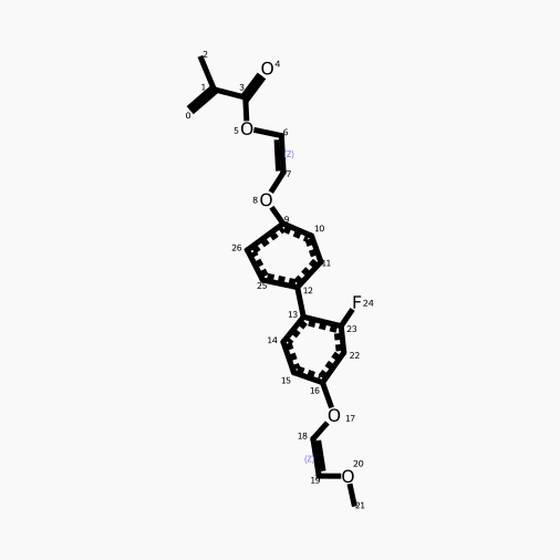 C=C(C)C(=O)O/C=C\Oc1ccc(-c2ccc(O/C=C\OC)cc2F)cc1